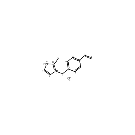 C=Cc1ccc(C[n+]2cc[nH]c2C)cc1.[Cl-]